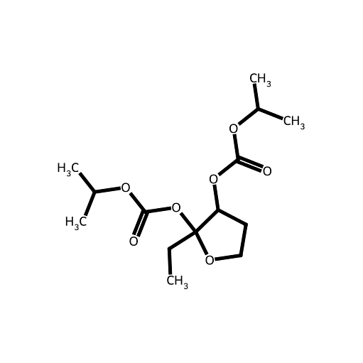 CCC1(OC(=O)OC(C)C)OCCC1OC(=O)OC(C)C